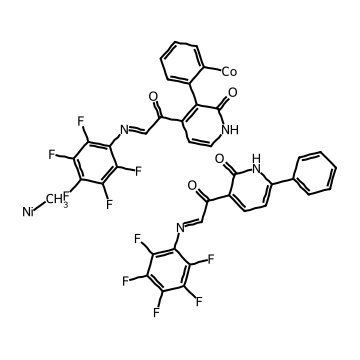 O=C(C=Nc1c(F)c(F)c(F)c(F)c1F)c1cc[nH]c(=O)c1-c1cccc[c]1[Co].O=C(C=Nc1c(F)c(F)c(F)c(F)c1F)c1ccc(-c2ccccc2)[nH]c1=O.[CH3][Ni]